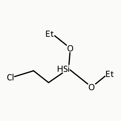 CCO[SiH](CCCl)OCC